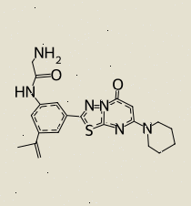 C=C(C)c1cc(NC(=O)CN)cc(-c2nn3c(=O)cc(N4CCCCC4)nc3s2)c1